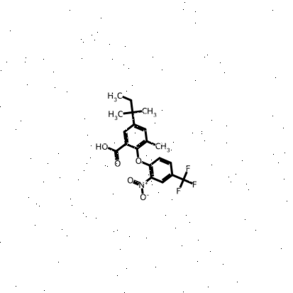 CCC(C)(C)c1cc(C)c(Oc2ccc(C(F)(F)F)cc2[N+](=O)[O-])c(C(=O)O)c1